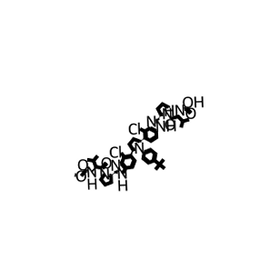 COC(=O)N[C@H](C(=O)N1CCC[C@H]1c1nc2c(Cl)c([C@H]3CC[C@H](c4ccc5[nH]c([C@@H]6CCCN6C(=O)[C@@H](NC(=O)O)C(C)C)nc5c4Cl)N3c3ccc(C(C)(C)C)cc3)ccc2[nH]1)C(C)C